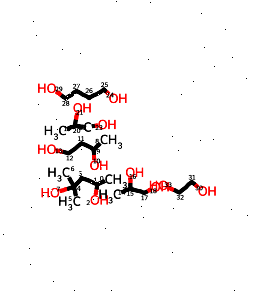 CC(O)CC(C)(C)O.CC(O)CCO.CC(O)CO.CC(O)CO.OCCCCO.OCCO